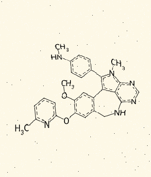 CNc1ccc(-c2c3c4c(ncnc4n2C)NCc2cc(Oc4cccc(C)n4)c(OC)cc2-3)cc1